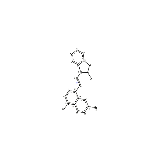 CC1Cc2ccccc2N1/N=C/c1cc[n+](C)c2ccc(Br)cc12